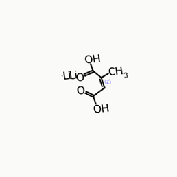 C/C(=C/C(=O)O)C(=O)O.[Li].[Li]